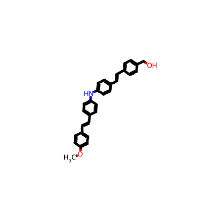 COc1ccc(/C=C/c2ccc(Nc3ccc(/C=C/c4ccc(CO)cc4)cc3)cc2)cc1